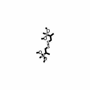 CO[Si](C)(OC)C(C)CSSCC(C)[Si](C)(OC)OC